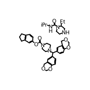 CCC1CNCCN1C(=O)NC(C)C.O=C(Oc1ccc2c(c1)CCC2)N1CCN(C(c2ccc3c(c2)COCO3)c2ccc3c(c2)COCO3)CC1